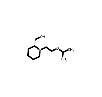 CC(C)OCCN1CCCC[C@@H]1CO